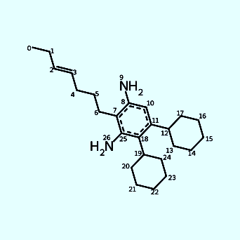 CCC=CCCCc1c(N)cc(C2CCCCC2)c(C2CCCCC2)c1N